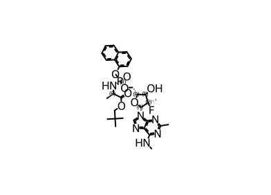 CNc1nc(C)nc2c1ncn2[C@@H]1O[C@H](CO[P@](=O)(N[C@H](C)C(=O)OCC(C)(C)C)Oc2cccc3ccccc23)[C@@H](O)[C@@]1(C)F